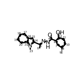 CC(=NNC(=O)c1cc(I)ccc1O)c1cc2ccccc2n1C